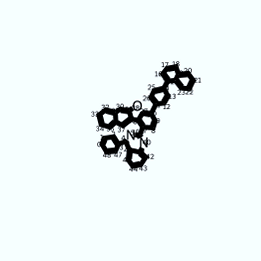 c1ccc(-c2nc(-c3ccc(-c4ccc(-c5cccc6ccccc56)cc4)c4oc5cc6ccccc6cc5c34)nc3ccccc23)cc1